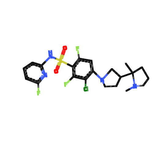 CN1CCCC1(C)C1CCN(c2cc(F)c(S(=O)(=O)Nc3cccc(F)n3)c(F)c2Cl)C1